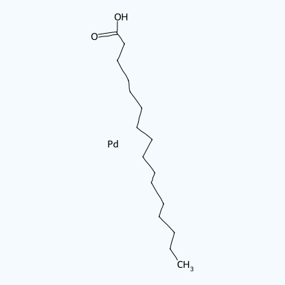 CCCCCCCCCCCCCCCC(=O)O.[Pd]